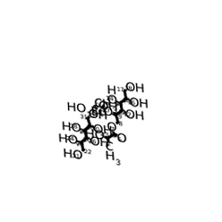 CC(=O)O.CC(O)C(=O)OCC(=O)[C@@H](O)[C@H](O)[C@H](O)CO.CCO.OC[C@@H](O)[C@@H](O)[C@H](O)[C@H](O)CO